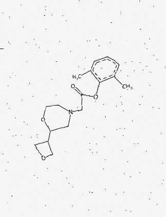 Cc1cccc(C)c1OC(=O)CN1CCOC(C2COC2)C1